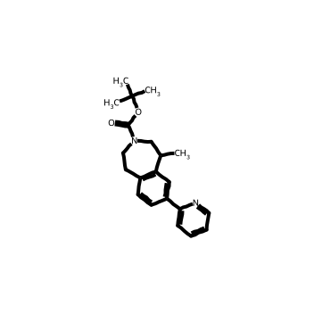 CC1CN(C(=O)OC(C)(C)C)CCc2ccc(-c3ccccn3)cc21